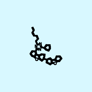 C=C/C=C\C=C/Cc1nc(-c2ccccc2)nc(-c2cccc3oc4cc(-c5ccc6oc7ccccc7c6c5)ccc4c23)n1